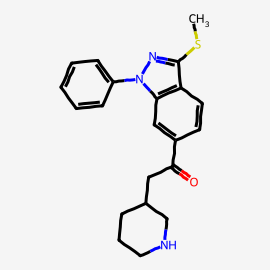 CSc1nn(-c2ccccc2)c2cc(C(=O)CC3CCCNC3)ccc12